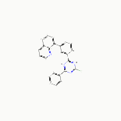 Clc1nc(-c2ccccc2)nc(-c2cccc(-c3cccc4cccnc34)c2)n1